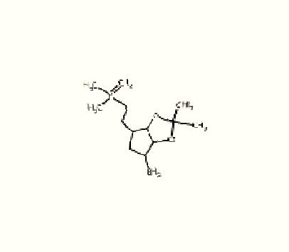 BC1CC(CCP(=C)(C)C)C2OC(C)(C)OC12